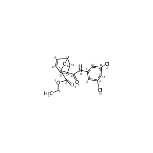 CCOC(=O)C1(C(=O)Nc2cc(Cl)cc(Cl)c2)OC2C=CC1CC2